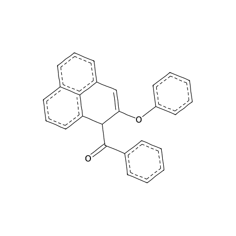 O=C(c1ccccc1)C1C(Oc2ccccc2)=Cc2cccc3cccc1c23